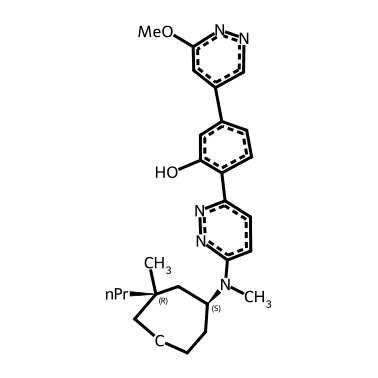 CCC[C@]1(C)CCCC[C@H](N(C)c2ccc(-c3ccc(-c4cnnc(OC)c4)cc3O)nn2)C1